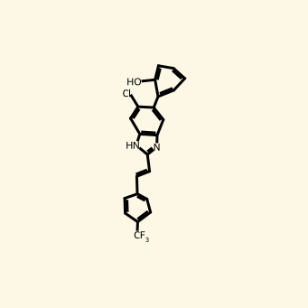 Oc1ccccc1-c1cc2nc(C=Cc3ccc(C(F)(F)F)cc3)[nH]c2cc1Cl